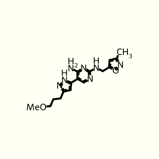 COCCCc1cc(-c2cnc(NCc3cc(C)no3)nc2N)[nH]n1